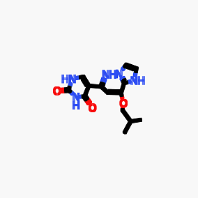 CC(C)CO/C(=C/C(=N)c1c[nH]c(=O)[nH]c1=O)c1ncc[nH]1